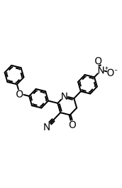 N#CC1=C(c2ccc(Oc3ccccc3)cc2)N=C(c2ccc([N+](=O)[O-])cc2)CC1=O